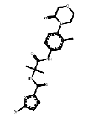 Cc1cc(NC(=O)C(C)(C)NC(=O)c2ccc(Br)s2)ccc1N1CCOCC1=O